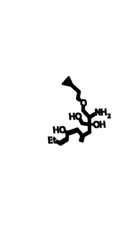 C=C(/C=C(O)\C=C/CC)C[C@](O)(CO)C(N)COCCC1CC1